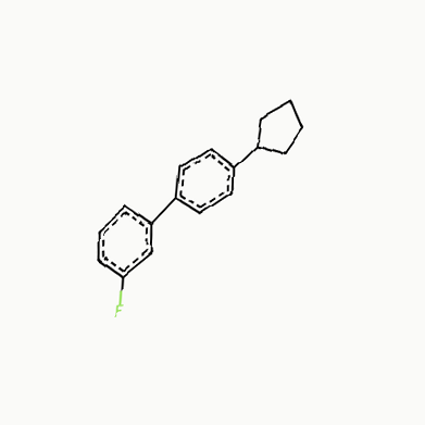 Fc1cccc(-c2ccc(C3CCCC3)cc2)c1